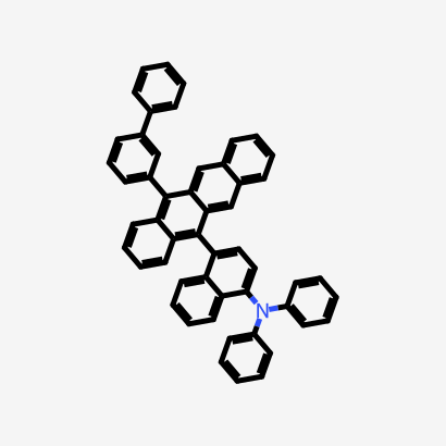 c1ccc(-c2cccc(-c3c4ccccc4c(-c4ccc(N(c5ccccc5)c5ccccc5)c5ccccc45)c4cc5ccccc5cc34)c2)cc1